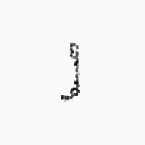 NCc1ccc(COCCOCCOCc2ccc(CN)cc2)cc1